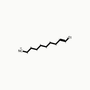 CCC=CCCCCCCCC#N